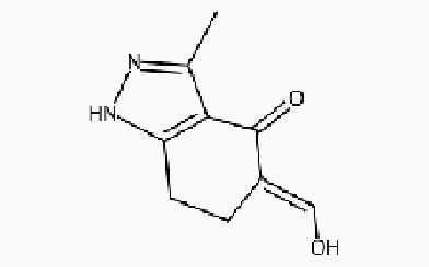 Cc1n[nH]c2c1C(=O)C(=CO)CC2